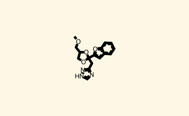 COCC1COC(Cc2nc[nH]n2)(c2cc3ccccc3o2)O1